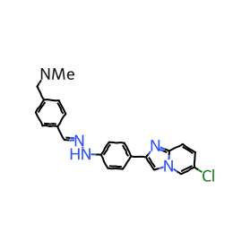 CNCc1ccc(C=NNc2ccc(-c3cn4cc(Cl)ccc4n3)cc2)cc1